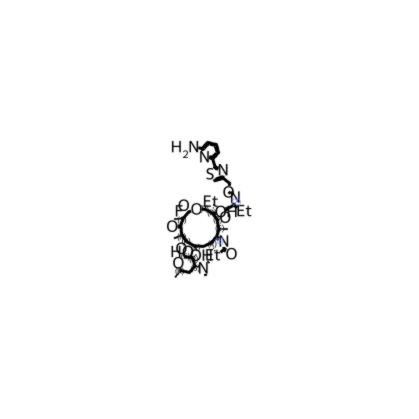 CCC(=O)/N=C1\[C@H](C)C[C@@](C)(O)[C@H](O[C@@H]2O[C@H](C)C[C@H](N(C)C)[C@H]2O)[C@@H](C)C(=O)[C@](C)(F)C(=O)O[C@H](CC)[C@@](C)(O)[C@H](OC/C(CC)=N\OCc2csc(-c3cccc(N)n3)n2)[C@H]1C